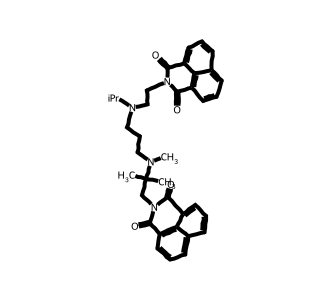 CC(C)N(CCCN(C)C(C)(C)CN1C(=O)c2cccc3cccc(c23)C1=O)CCN1C(=O)c2cccc3cccc(c23)C1=O